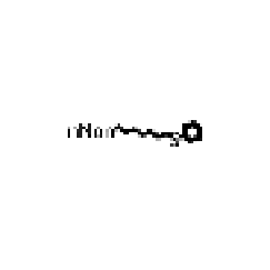 [CH2]CCCCCCCCCCCCCCCSc1ccccc1